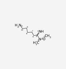 CON(C)C(=N)CCCCCN